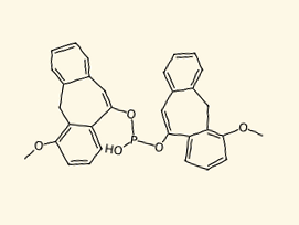 COc1cccc2c1Cc1ccccc1C=C2OP(O)OC1=Cc2ccccc2Cc2c(OC)cccc21